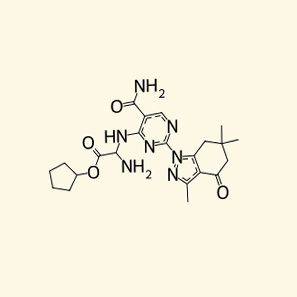 Cc1nn(-c2ncc(C(N)=O)c(NC(N)C(=O)OC3CCCC3)n2)c2c1C(=O)CC(C)(C)C2